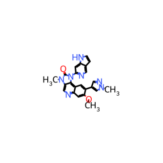 COc1cc2ncc3c(c2cc1-c1cnn(C)c1)n(-c1cc2[nH]ccc2cn1)c(=O)n3C